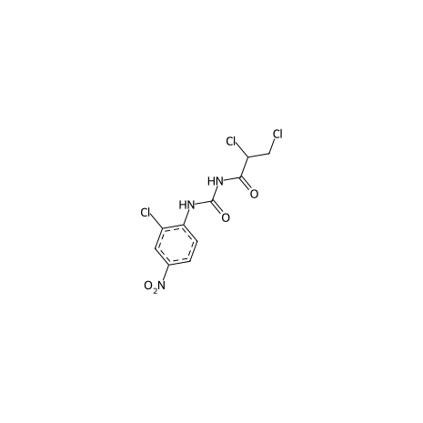 O=C(NC(=O)C(Cl)CCl)Nc1ccc([N+](=O)[O-])cc1Cl